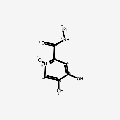 CC(C)NC(=O)c1cc(O)c(O)c[n+]1[O-]